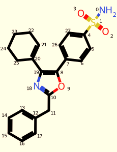 NS(=O)(=O)c1ccc(-c2oc(Cc3ccccc3)nc2C2=CCCCC2)cc1